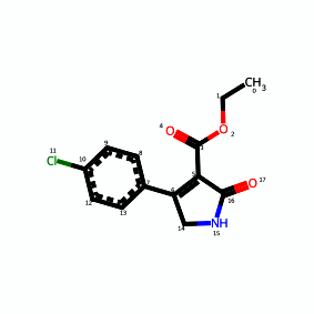 CCOC(=O)C1=C(c2ccc(Cl)cc2)CNC1=O